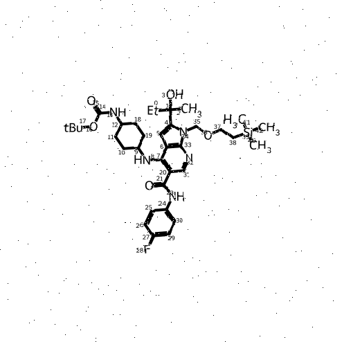 CCC(C)(O)c1cc2c(NC3CCC(NC(=O)OC(C)(C)C)CC3)c(C(=O)Nc3ccc(F)cc3)cnc2n1COCC[Si](C)(C)C